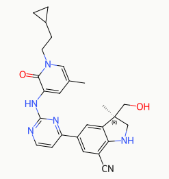 Cc1cc(Nc2nccc(-c3cc(C#N)c4c(c3)[C@@](C)(CO)CN4)n2)c(=O)n(CCC2CC2)c1